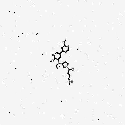 CCN(c1cc(-c2ccnc(NC)c2)c[nH]c1=O)[C@@H]1CCN(C(=O)C=CCNC)C1